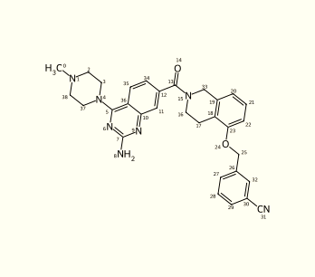 CN1CCN(c2nc(N)nc3cc(C(=O)N4CCc5c(cccc5OCc5cccc(C#N)c5)C4)ccc23)CC1